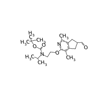 Cc1nc(OCCN(C(=O)OC(C)(C)C)C(C)C)c(C)c2c1CC(C=O)C2